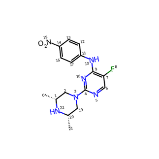 C[C@@H]1CN(c2ncc(F)c(Nc3ccc([N+](=O)[O-])cc3)n2)C[C@H](C)N1